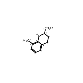 CCOC(=O)C1CCc2cccc(OC)c2O1